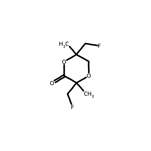 CC1(CF)COC(C)(CF)C(=O)O1